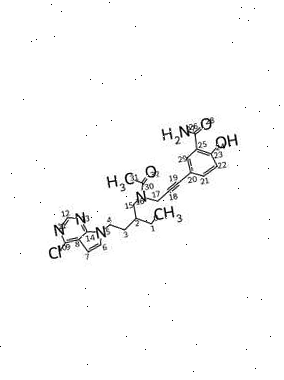 CCC(CCn1ccc2c(Cl)ncnc21)CN(CC#Cc1ccc(O)c(C(N)=O)c1)C(C)=O